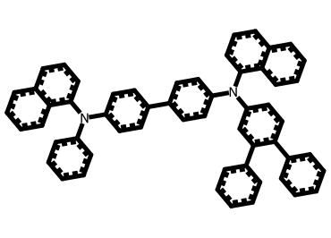 c1ccc(-c2ccc(N(c3ccc(-c4ccc(N(c5ccccc5)c5cccc6ccccc56)cc4)cc3)c3cccc4ccccc34)cc2-c2ccccc2)cc1